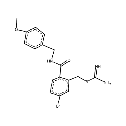 COc1ccc(CNC(=O)c2ccc(Br)cc2CSC(=N)N)cc1